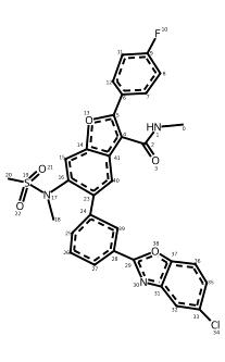 CNC(=O)c1c(-c2ccc(F)cc2)oc2cc(N(C)S(C)(=O)=O)c(-c3cccc(-c4nc5cc(Cl)ccc5o4)c3)cc12